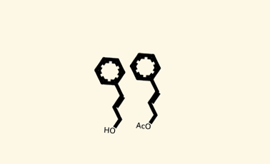 CC(=O)OCC=Cc1ccccc1.OCC=Cc1ccccc1